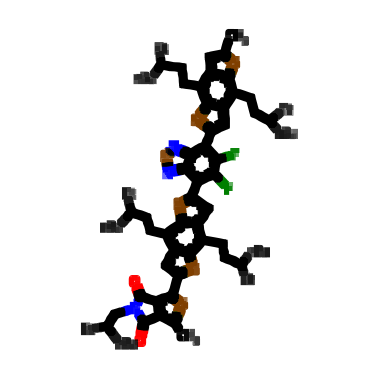 CCCCC(CC)CCc1c2cc(-c3c(F)c(F)c(-c4cc5c(CCC(CC)CCCC)c6sc(-c7sc(C)c8c7C(=O)N(CC(CC)CCCC)C8=O)cc6c(CCC(CC)CCCC)c5s4)c4nsnc34)sc2c(CCC(CC)CCCC)c2cc(C)sc12